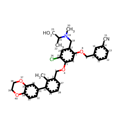 Cc1c(COc2cc(OCc3cccc(C#N)c3)c(CN(C)C(C)C(=O)O)cc2Cl)cccc1-c1ccc2c(c1)OCCO2